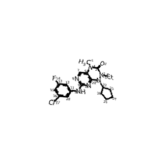 CCN1C(=O)N(C)c2cnc(Nc3cc(F)cc(Cl)c3)nc2N1C1CCCC1